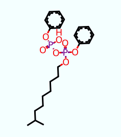 CC(C)CCCCCCCOP(=O)(Oc1ccccc1)OP(=O)(O)Oc1ccccc1